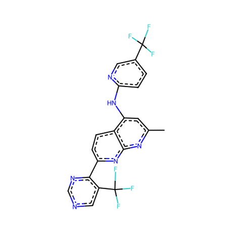 Cc1cc(Nc2ccc(C(F)(F)F)cn2)c2ccc(-c3ncncc3C(F)(F)F)nc2n1